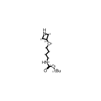 CC(C)(C)OC(=O)NCCCCOC1CNC1